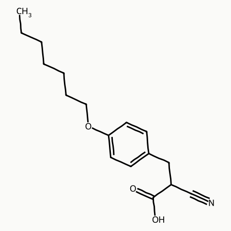 CCCCCCCOc1ccc(CC(C#N)C(=O)O)cc1